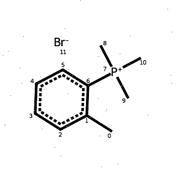 Cc1ccccc1[P+](C)(C)C.[Br-]